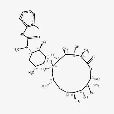 CC[C@H]1OC(=O)[C@H](C)[C@@H](O)[C@H](C)[C@@H](O[C@@H]2O[C@H](C)C[C@H](N(C)C(=O)Nc3ccccc3F)[C@H]2O)[C@](C)(O)C[C@@H](C)CN[C@H](C)[C@@H](O)[C@]1(C)O